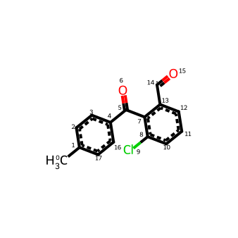 Cc1ccc(C(=O)c2c(Cl)cccc2[C]=O)cc1